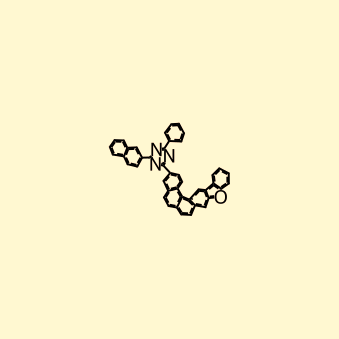 c1ccc(-c2nc(-c3ccc4ccccc4c3)nc(-c3ccc4c(ccc5ccc6cc7oc8ccccc8c7cc6c54)c3)n2)cc1